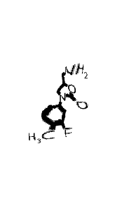 Cc1ccc(N2CC(CN)OC2=O)cc1F